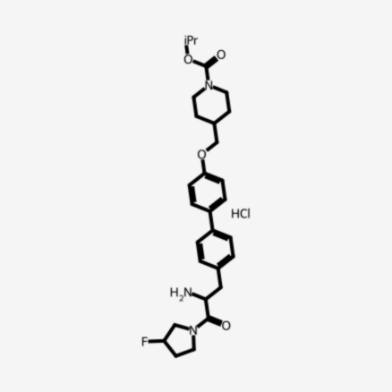 CC(C)OC(=O)N1CCC(COc2ccc(-c3ccc(CC(N)C(=O)N4CCC(F)C4)cc3)cc2)CC1.Cl